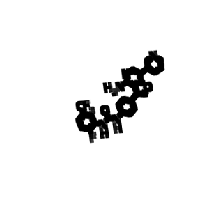 Nc1ncc(-c2cccnc2)c2occ(-c3ccc(NC(=O)Nc4cc(C(F)(F)F)ccc4F)cc3)c12